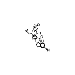 CS(=O)(=O)CC(=O)Nc1c2c(nn1CCC1CC1)C[C@]1(CCc3cc(C#N)ccc31)NC2=O